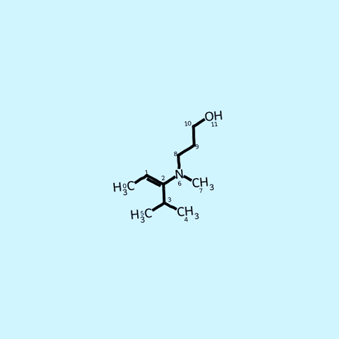 C/C=C(\C(C)C)N(C)CCCO